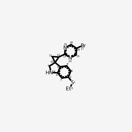 CCSc1ccc2c(c1)NCC21CC1c1ncc(Br)cn1